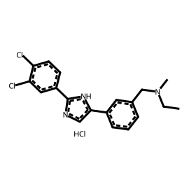 CCN(C)Cc1cccc(-c2cnc(-c3ccc(Cl)c(Cl)c3)[nH]2)c1.Cl